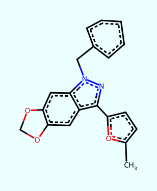 Cc1ccc(-c2nn(Cc3ccccc3)c3cc4c(cc23)OCO4)o1